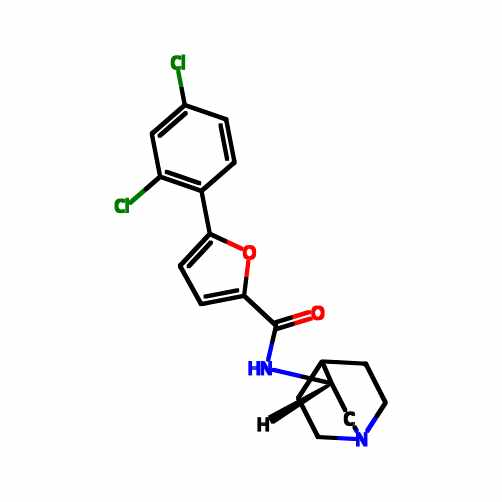 O=C(N[C@H]1CN2CCC1CC2)c1ccc(-c2ccc(Cl)cc2Cl)o1